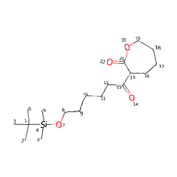 CC(C)(C)[Si](C)(C)OCCCCCC(=O)C1CCCCOC1=O